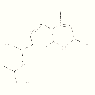 CCCCCC(C)NC(O)C/N=C\N1C(C)=CC(C(F)(F)F)NC1C